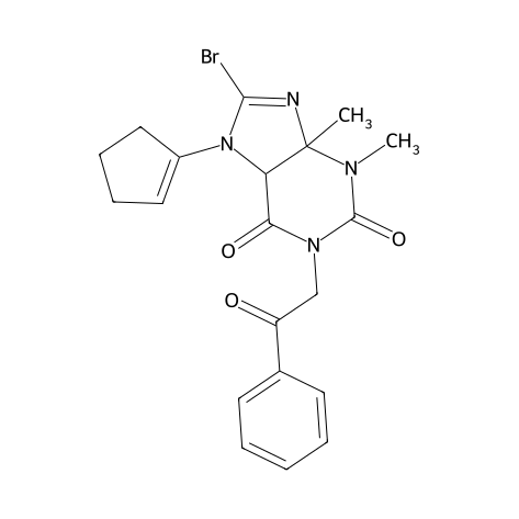 CN1C(=O)N(CC(=O)c2ccccc2)C(=O)C2N(C3=CCCC3)C(Br)=NC21C